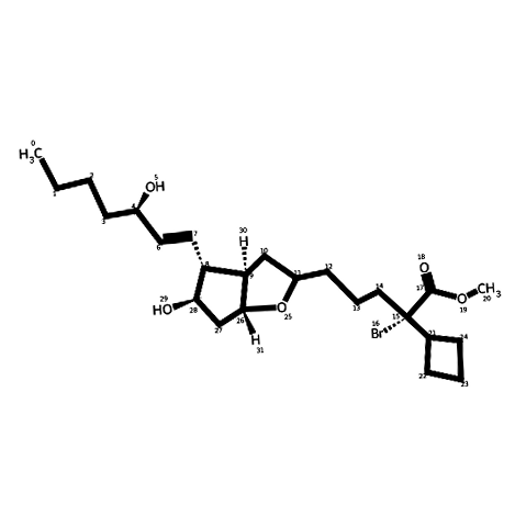 CCCC[C@@H](O)/C=C/[C@@H]1[C@H]2CC(CCC[C@@](Br)(C(=O)OC)C3CCC3)O[C@@H]2C[C@H]1O